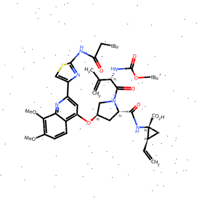 C=C[C@@H]1C[C@]1(NC(=O)[C@@H]1C[C@@H](Oc2cc(-c3csc(NC(=O)CC(C)(C)C)n3)nc3c(OC)c(OC)ccc23)CN1C(=O)[C@@H](NC(=O)OC(C)(C)C)C(=C)C)C(=O)O